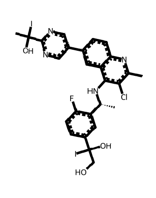 Cc1nc2ccc(-c3cnc(C(C)(O)I)nc3)cc2c(N[C@H](C)c2cc(C(O)(I)CO)ccc2F)c1Cl